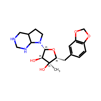 C[C@@]1(O)[C@@H](Cc2ccc3c(c2)OCO3)O[C@@H](N2CCC3CNCNC32)[C@@H]1O